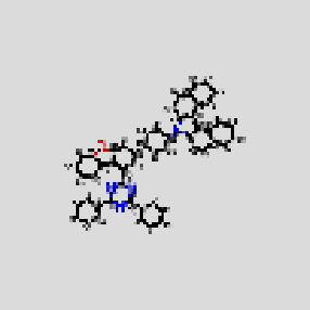 c1ccc(-c2nc(-c3ccccc3)nc(-c3cc(-c4ccc(-n5c6ccc7ccccc7c6c6c7ccccc7ccc65)cc4)cc4oc5ccccc5c34)n2)cc1